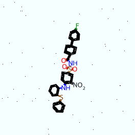 O=C(NS(=O)(=O)c1ccc(N[C@@H]2CCCC[C@@H]2Sc2ccccc2)c([N+](=O)[O-])c1)c1ccc(-c2ccc(F)cc2)cc1